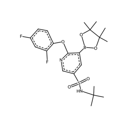 CC(C)(C)NS(=O)(=O)c1cnc(Oc2ccc(F)cc2F)c(B2OC(C)(C)C(C)(C)O2)c1